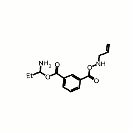 C=CCNOC(=O)c1cccc(C(=O)OC(N)CC)c1